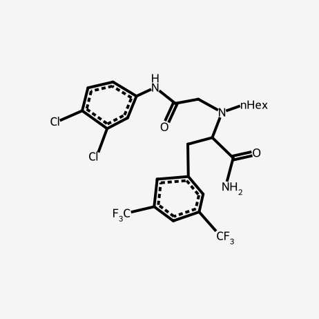 CCCCCCN(CC(=O)Nc1ccc(Cl)c(Cl)c1)C(Cc1cc(C(F)(F)F)cc(C(F)(F)F)c1)C(N)=O